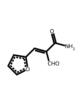 NC(=O)/C(C=O)=C/c1ccco1